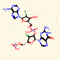 Nc1nc2c(ncn2[C@@H]2O[C@H](CO[PH](=O)O)C(F)C2OP(=O)(O)OC[C@H]2O[C@@H](n3cnc4c(N)ncnc43)C(F)C2O)c(=O)[nH]1